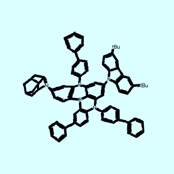 CC(C)(C)c1ccc2c(c1)c1cc(C(C)(C)C)ccc1n2-c1cc2c3c(c1)N(c1ccc(-c4ccccc4)cc1)c1cc(N4C5CC6CC(C5)CC4C6)ccc1B3c1cc(-c3ccccc3)ccc1N2c1ccc(-c2ccccc2)cc1